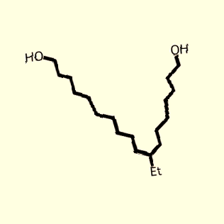 CCC(CCCCCCCO)CCCCCCCCCCO